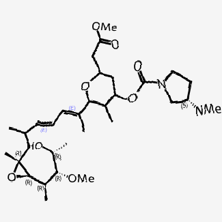 CN[C@H]1CCN(C(=O)OC2CC(CC(=O)OC)OC(/C(C)=C/C=C/C(C)C[C@@]3(C)O[C@@H]3[C@H](C)[C@@H](OC)[C@@H](C)O)C2C)C1